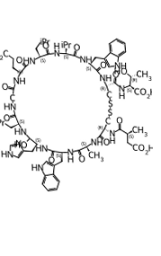 CC(C)C[C@@H]1NC(=O)[C@H](CCC(=O)O)NC(=O)CNC(=O)[C@H](CC(C)C)NC(O)[C@H](Cc2c[nH]cn2)NC(=O)[C@H](Cc2c[nH]c3ccccc23)NC(=O)[C@H](C)NC(=O)[C@@H](NC(=O)[C@@H](C)CC(=O)O)CSSC[C@@H](C(=O)N[C@H](C(=O)O)[C@@H](C)O)NC(=O)[C@H](Cc2c[nH]c3ccccc23)NC(=O)[C@H](C(C)C)NC1=O